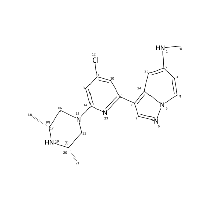 CNc1ccn2ncc(-c3cc(Cl)cc(N4C[C@@H](C)N[C@@H](C)C4)n3)c2c1